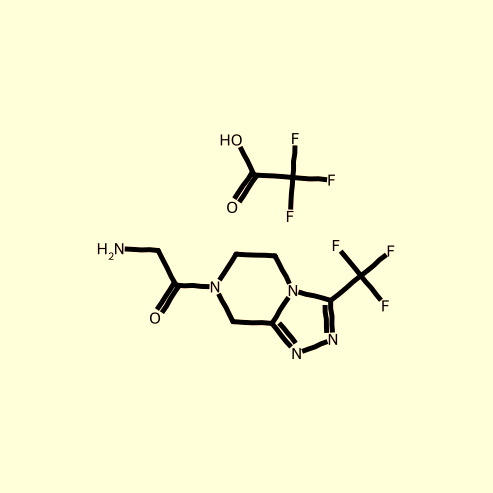 NCC(=O)N1CCn2c(nnc2C(F)(F)F)C1.O=C(O)C(F)(F)F